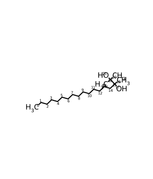 CCCCCCCCCCCCCCCC(C)(O)C(C)(C)O